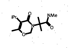 CNC(=O)C(C)(C)N1COC(C)=C(C(C)C)C1=O